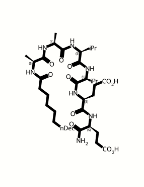 CCCCCCCCCCCCCCCC(=O)N[C@@H](C)C(=O)N[C@@H](C)C(=O)N[C@H](C(=O)N[C@H](C(=O)N[C@@H](CCC(=O)O)C(=O)N[C@@H](CCC(=O)O)C(N)=O)C(C)C)C(C)C